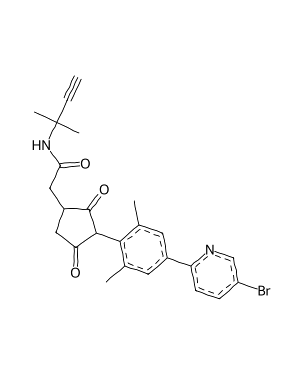 C#CC(C)(C)NC(=O)CC1CC(=O)C(c2c(C)cc(-c3ccc(Br)cn3)cc2C)C1=O